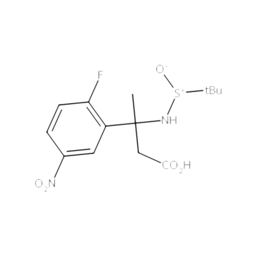 CC(CC(=O)O)(N[S+]([O-])C(C)(C)C)c1cc([N+](=O)[O-])ccc1F